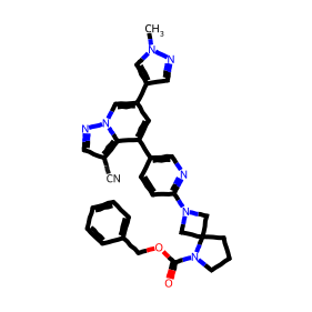 Cn1cc(-c2cc(-c3ccc(N4CC5(CCCN5C(=O)OCc5ccccc5)C4)nc3)c3c(C#N)cnn3c2)cn1